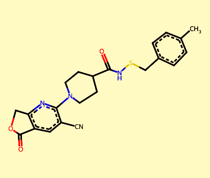 Cc1ccc(CSNC(=O)C2CCN(c3nc4c(cc3C#N)C(=O)OC4)CC2)cc1